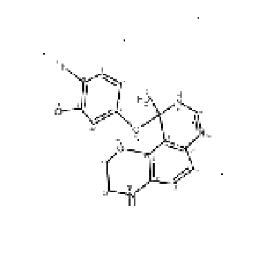 NC1(Oc2ccc(F)c(Cl)c2)NC=Nc2ccc3c(c21)OCCN3